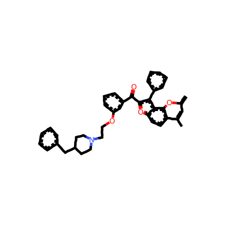 C=C1C=C(C)c2ccc3oc(C(=O)c4cccc(OCCN5CCC(Cc6ccccc6)CC5)c4)c(-c4ccccc4)c3c2O1